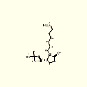 CCCCCC(C)(O)C=C[C@H]1CCC(=O)[C@@H]1CCCCCCC(=O)O